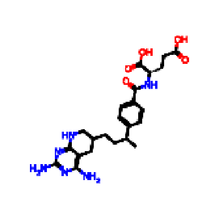 CC(CCC1CNc2nc(N)nc(N)c2C1)c1ccc(C(=O)N[C@@H](CCC(=O)O)C(=O)O)cc1